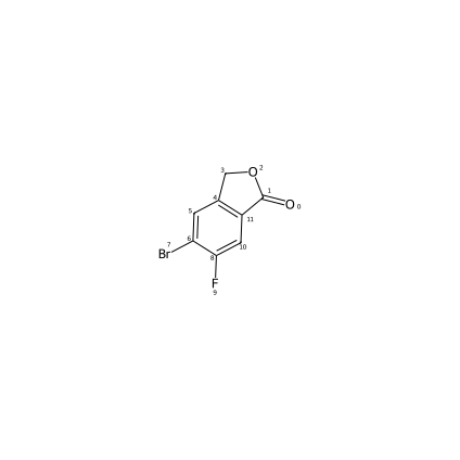 O=C1OCc2cc(Br)c(F)cc21